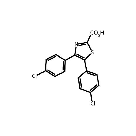 O=C(O)c1nc(-c2ccc(Cl)cc2)c(-c2ccc(Cl)cc2)s1